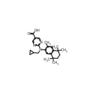 Cc1cc2c(cc1N(CC1CC1)c1ncc(C(=O)O)cn1)C(C)(C)CCC2(C)C